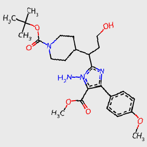 COC(=O)c1c(-c2ccc(OC)cc2)nc(C(CCO)C2CCN(C(=O)OC(C)(C)C)CC2)n1N